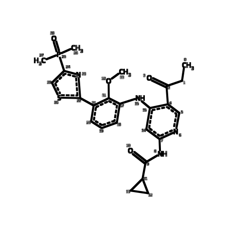 CCC(=O)c1cnc(NC(=O)C2CC2)cc1Nc1cccc(-c2nc(P(C)(C)=O)cs2)c1OC